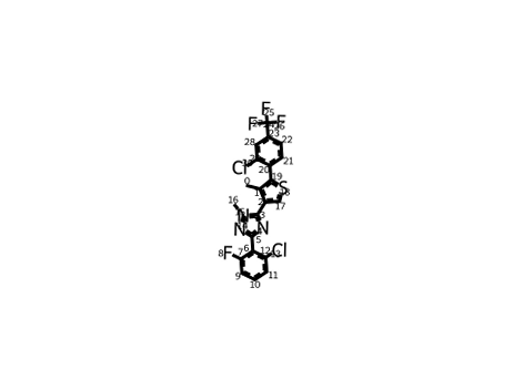 Cc1c(-c2nc(-c3c(F)cccc3Cl)nn2C)csc1-c1ccc(C(F)(F)F)cc1Cl